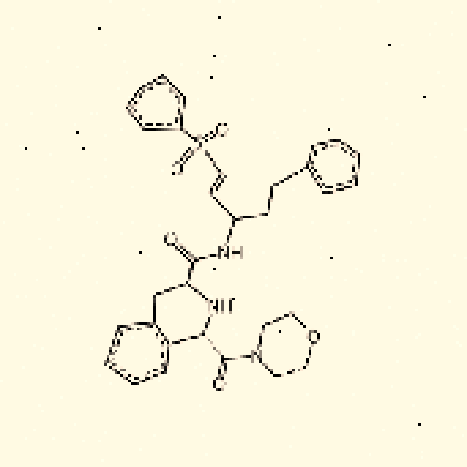 O=C(NC(/C=C/S(=O)(=O)c1ccccc1)CCc1ccccc1)[C@@H]1Cc2ccccc2[C@@H](C(=O)N2CCOCC2)N1